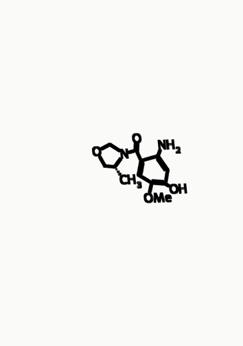 COc1cc(C(=O)N2COC[C@H]2C)c(N)cc1O